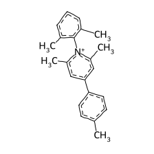 Cc1ccc(-c2cc(C)[n+](-c3c(C)cccc3C)c(C)c2)cc1